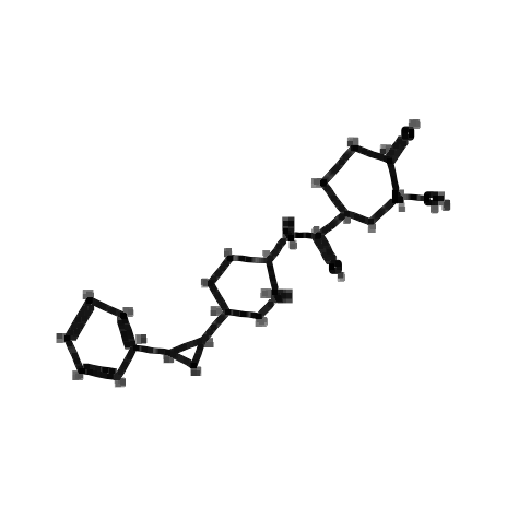 CN1CC(C(=O)NC2CCC(C3CC3c3ccccc3)CN2)CCC1=O